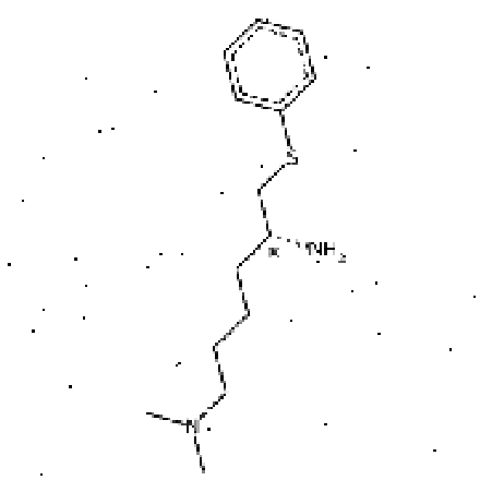 CN(C)CCCC[C@@H](N)CSc1ccccc1